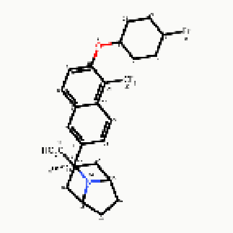 CCC1CCC(Oc2ccc3cc([C@@H](C)N4C5CCC4CC(C(=O)O)C5)ccc3c2C(F)(F)F)CC1